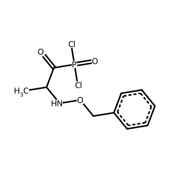 CC(NOCc1ccccc1)C(=O)P(=O)(Cl)Cl